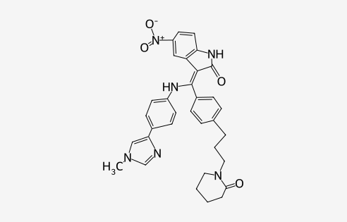 Cn1cnc(-c2ccc(NC(=C3C(=O)Nc4ccc([N+](=O)[O-])cc43)c3ccc(CCCN4CCCCC4=O)cc3)cc2)c1